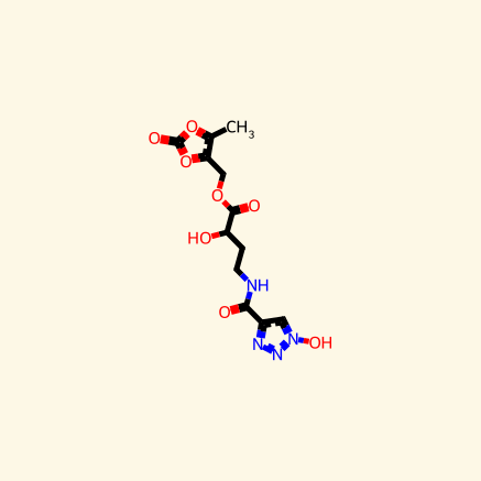 Cc1oc(=O)oc1COC(=O)C(O)CCNC(=O)c1cn(O)nn1